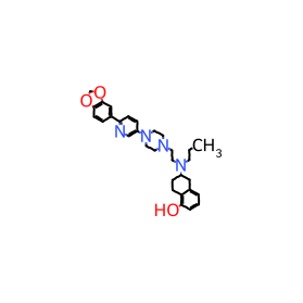 CCCN(CCN1CCN(c2ccc(-c3ccc4c(c3)OCO4)nc2)CC1)[C@H]1CCc2c(O)cccc2C1